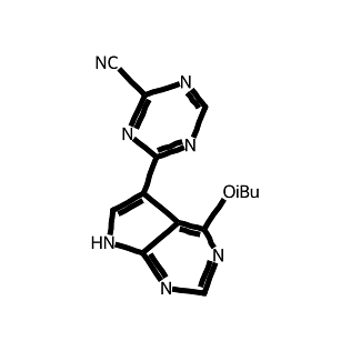 CC(C)COc1ncnc2[nH]cc(-c3ncnc(C#N)n3)c12